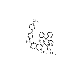 CCOC(=O)C1C2=C(NN1C(c1ccccc1)(c1ccccc1)c1ccccc1)c1nc(Nc3ccc(N4CCN(C)CC4)cc3)ncc1CC2(C)C